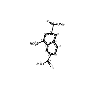 COC(=O)c1cc(S(=O)(=O)O)c2cc(C(=O)OC)ccc2c1